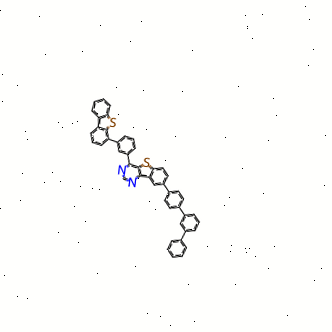 c1ccc(-c2cccc(-c3ccc(-c4ccc5sc6c(-c7cccc(-c8cccc9c8sc8ccccc89)c7)ncnc6c5c4)cc3)c2)cc1